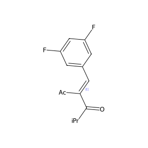 CC(=O)/C(=C\c1cc(F)cc(F)c1)C(=O)C(C)C